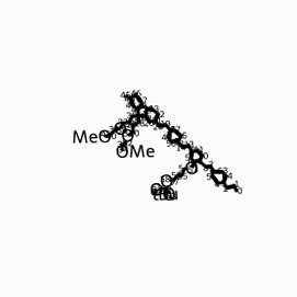 C/C=C/c1ccc(/C=C/c2ccc(/C=C/c3ccc(/C=C/c4ccc5c(c4)C(CCCOCCOC)(CCCOCCOC)c4cc(C)ccc4-5)cc3)cc2OCCCCOC(=O)OC(C)(C)C)cc1